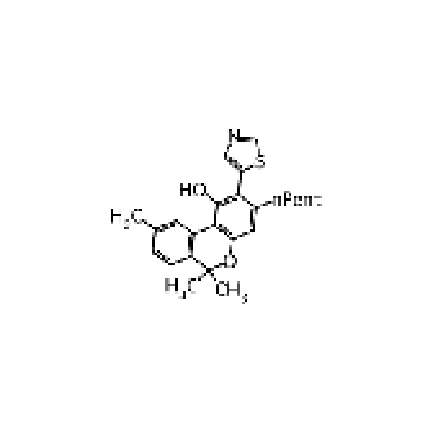 CCCCCc1cc2c(c(O)c1-c1cncs1)-c1cc(C)ccc1C(C)(C)O2